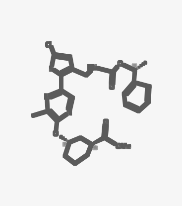 COC(=O)[C@H]1CCC[C@H](Oc2ncc(-c3sc(Cl)cc3CNC(=O)O[C@H](C)c3ccccc3)nc2C)C1